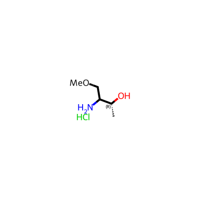 COCC(N)[C@@H](C)O.Cl